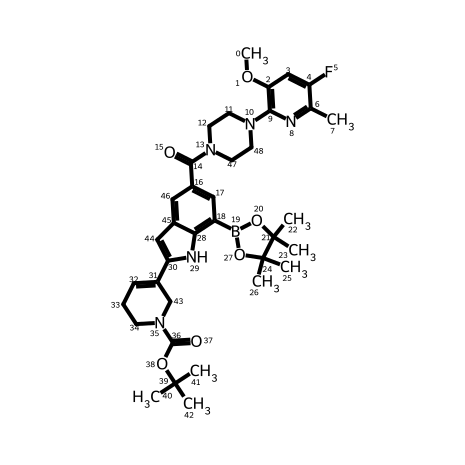 COc1cc(F)c(C)nc1N1CCN(C(=O)c2cc(B3OC(C)(C)C(C)(C)O3)c3[nH]c(C4=CCCN(C(=O)OC(C)(C)C)C4)cc3c2)CC1